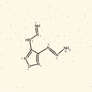 N=NNc1nonc1N=NN